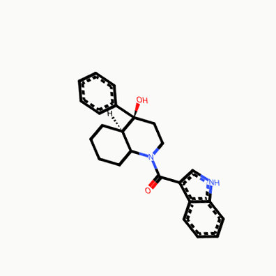 O=C(c1c[nH]c2ccccc12)N1CC[C@@](O)(c2ccccc2)[C@@H]2CCCCC21